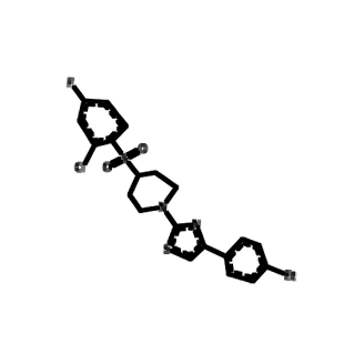 CCc1ccc(-c2csc(N3CCC(S(=O)(=O)c4ccc(F)cc4Cl)CC3)n2)cc1